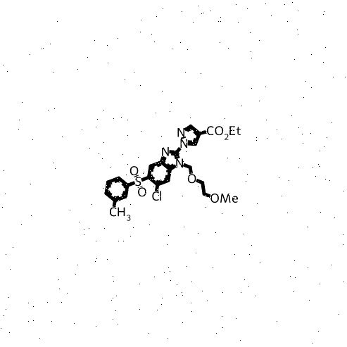 CCOC(=O)c1cnn(-c2nc3cc(S(=O)(=O)c4cccc(C)c4)c(Cl)cc3n2COCCOC)c1